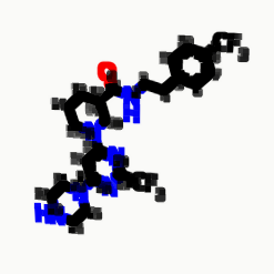 O=C(NCCc1ccc(C(F)(F)F)cc1)[C@@H]1CCCN(c2cc(N3CCNCC3)nc(C(F)(F)F)n2)C1